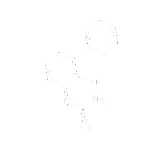 C=C(N)/N=c1/cccc(-c2ccccc2)n1C